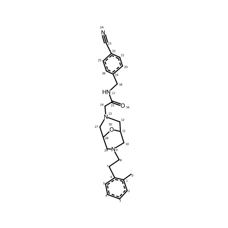 Cc1ccccc1CCN1CC2CN(CC(=O)NCc3ccc(C#N)cc3)CC(C1)O2